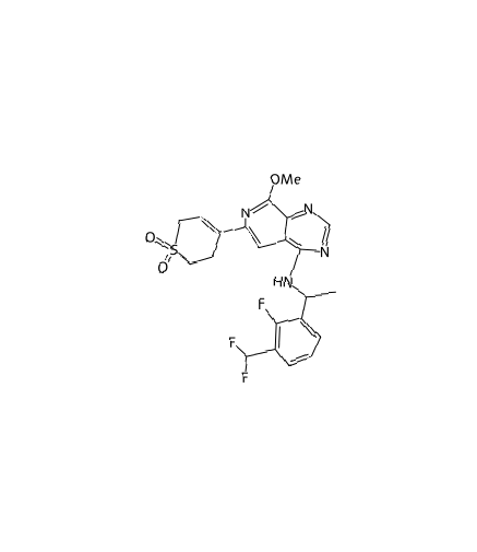 COc1nc(C2=CCS(=O)(=O)CC2)cc2c(NC(C)c3cccc(C(F)F)c3F)ncnc12